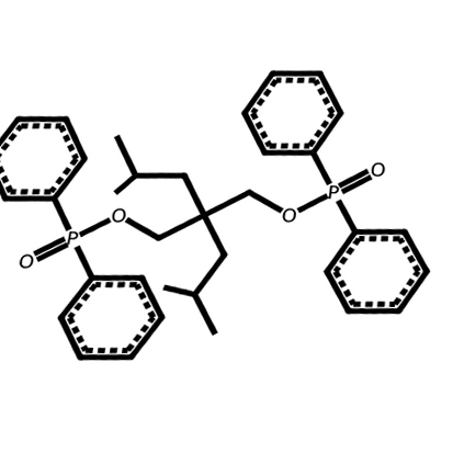 CC(C)CC(COP(=O)(c1ccccc1)c1ccccc1)(COP(=O)(c1ccccc1)c1ccccc1)CC(C)C